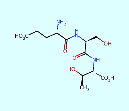 C[C@@H](O)[C@H](NC(=O)[C@H](CO)NC(=O)[C@@H](N)CCC(=O)O)C(=O)O